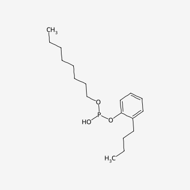 CCCCCCCCOP(O)Oc1ccccc1CCCC